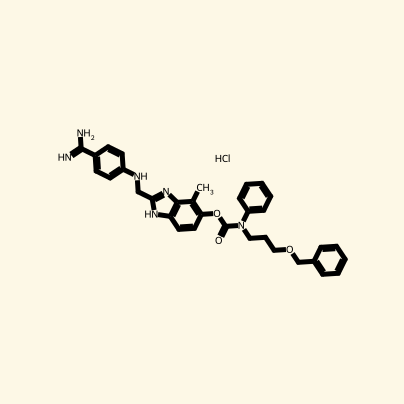 Cc1c(OC(=O)N(CCCOCc2ccccc2)c2ccccc2)ccc2[nH]c(CNc3ccc(C(=N)N)cc3)nc12.Cl